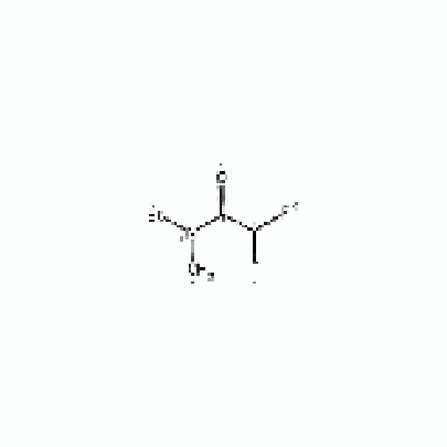 CCN(C)C(=O)C(F)F